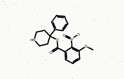 COc1cccc(C(=O)OC2(c3ccccc3)CCNCC2)c1[N+](=O)[O-]